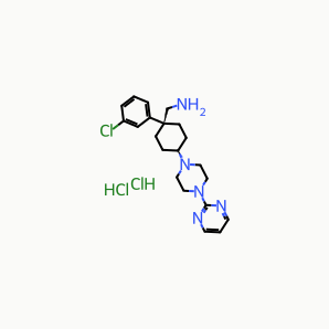 Cl.Cl.NC[C@]1(c2cccc(Cl)c2)CC[C@H](N2CCN(c3ncccn3)CC2)CC1